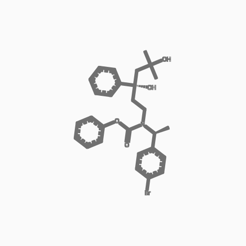 C[C@@H](c1ccc(Br)cc1)N(CC[C@](O)(CC(C)(C)O)c1ccccc1)C(=O)Oc1ccccc1